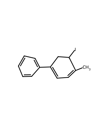 CC1=CC=C(c2ccccc2)C[C]1I